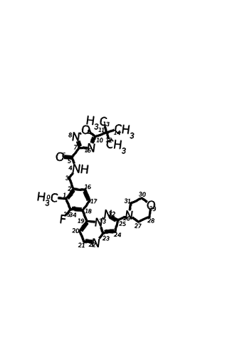 Cc1c(CNC(=O)c2noc(C(C)(C)C)n2)ccc(-c2ccnc3cc(N4CCOCC4)nn23)c1F